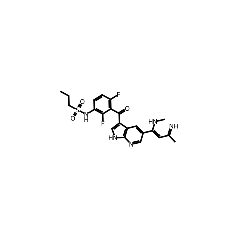 CCCS(=O)(=O)Nc1ccc(F)c(C(=O)c2c[nH]c3ncc(/C(=C/C(C)=N)NC)cc23)c1F